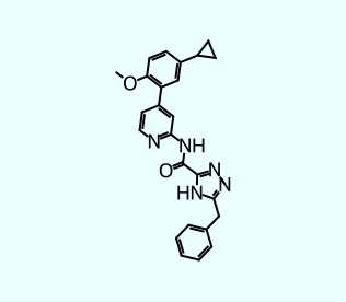 COc1ccc(C2CC2)cc1-c1ccnc(NC(=O)c2nnc(Cc3ccccc3)[nH]2)c1